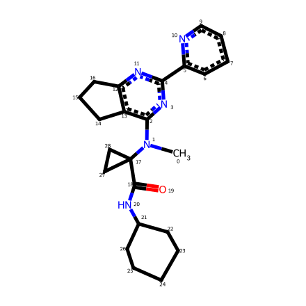 CN(c1nc(-c2ccccn2)nc2c1CCC2)C1(C(=O)NC2CCCCC2)CC1